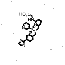 O=C(O)CNc1cccc(CN(Cc2ccc(-c3nccs3)cc2)S(=O)(=O)c2cccnc2)n1